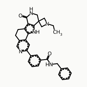 CCN1CC2(CNC(=O)c3c2[nH]c2c3CCc3cnc(-c4cccc(C(=O)NCc5ccccc5)c4)cc3-2)C1